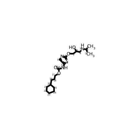 CC(C)NCC(O)COc1ncc(NC(=O)OCCCC2CCCCC2)s1